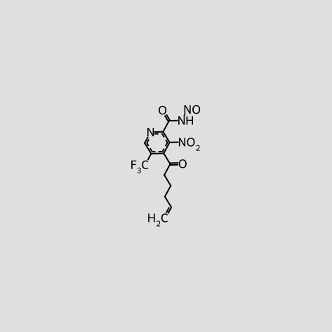 C=CCCCC(=O)c1c(C(F)(F)F)cnc(C(=O)NN=O)c1[N+](=O)[O-]